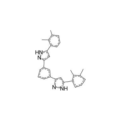 Cc1cccc(-c2cc(-c3cccc(-c4cc(-c5cccc(C)c5C)[nH]n4)c3)n[nH]2)c1C